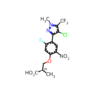 C[C@H](COc1cc(F)c(-c2nn(C)c(C(F)(F)F)c2Cl)cc1[N+](=O)[O-])C(=O)O